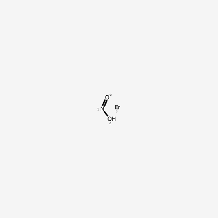 O=NO.[Er]